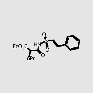 CCCC(C(=O)NS(=O)(=O)C=Cc1ccccc1)C(=O)OCC